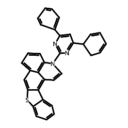 C1=CCC(c2cc(-c3ccccc3)nc(N3C=Cc4c5c3cccc5cc3sc5ccccc5c43)n2)C=C1